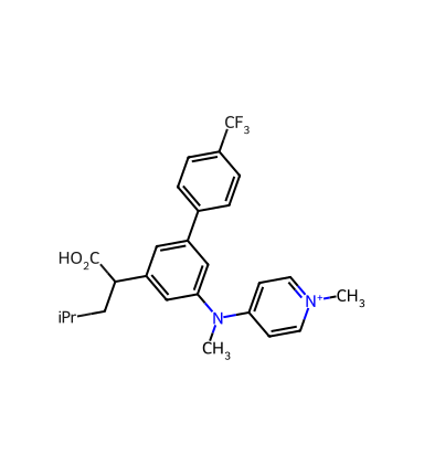 CC(C)CC(C(=O)O)c1cc(-c2ccc(C(F)(F)F)cc2)cc(N(C)c2cc[n+](C)cc2)c1